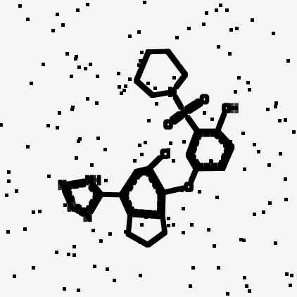 O=S(=O)(c1cc(Oc2c(Cl)cc(-c3nnn[nH]3)c3c2CCC3)ccc1O)N1CCCCC1